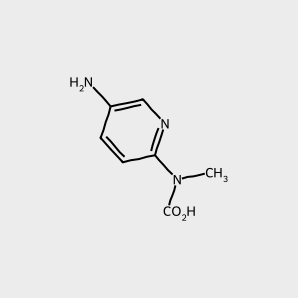 CN(C(=O)O)c1ccc(N)cn1